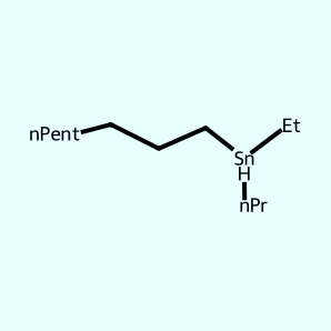 CCCCCCC[CH2][SnH]([CH2]C)[CH2]CC